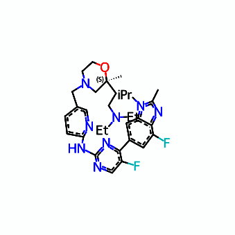 CCN(CC)CC[C@@]1(C)CN(Cc2ccc(Nc3ncc(F)c(-c4cc(F)c5nc(C)n(C(C)C)c5c4)n3)nc2)CCO1